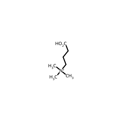 C[N+](C)(C)CCCC(=O)O